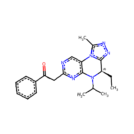 CC[C@@H]1c2nnc(C)n2-c2cnc(CC(=O)c3ccccc3)nc2N1C(C)C